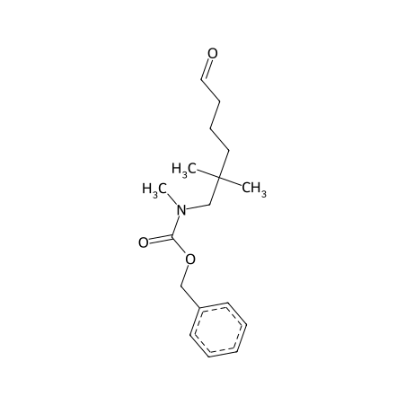 CN(CC(C)(C)CCCC=O)C(=O)OCc1ccccc1